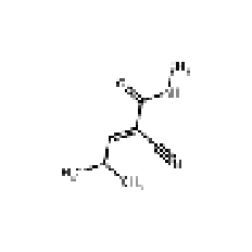 CNC(=O)C(C#N)=CC(C)C